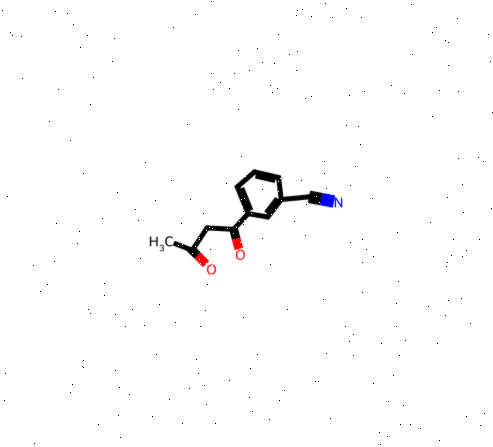 CC(=O)CC(=O)c1cccc(C#N)c1